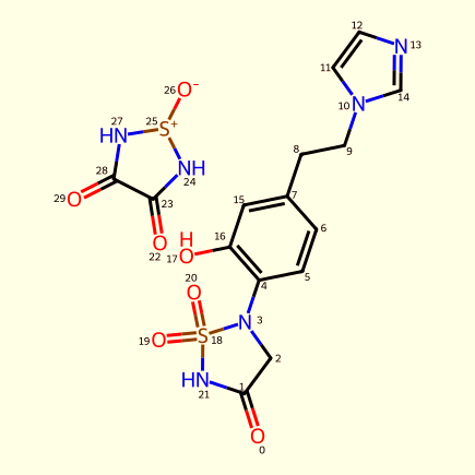 O=C1CN(c2ccc(CCn3ccnc3)cc2O)S(=O)(=O)N1.O=c1[nH][s+]([O-])[nH]c1=O